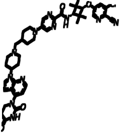 CC1(C)[C@H](NC(=O)c2ncc(N3CCC(CN4CCC(n5ccc6c(N7CCC(=O)NC7=O)ccnc65)CC4)CC3)cn2)C(C)(C)[C@H]1Oc1cnc(C#N)c(Cl)c1